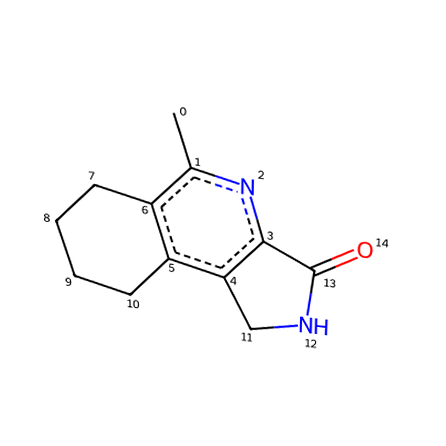 Cc1nc2c(c3c1CCCC3)CNC2=O